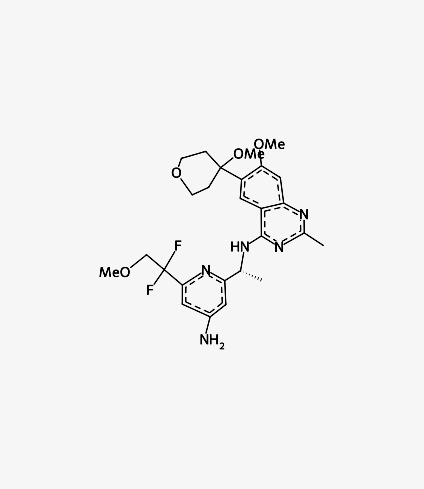 COCC(F)(F)c1cc(N)cc([C@@H](C)Nc2nc(C)nc3cc(OC)c(C4(OC)CCOCC4)cc23)n1